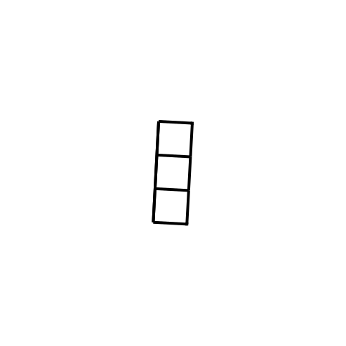 C1C2C3CC4C1C2C34